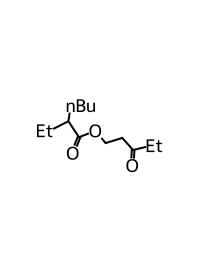 CCCCC(CC)C(=O)OCCC(=O)CC